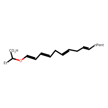 CCCCCC=CCC=CCC=CC=COC(CC)C(=O)O